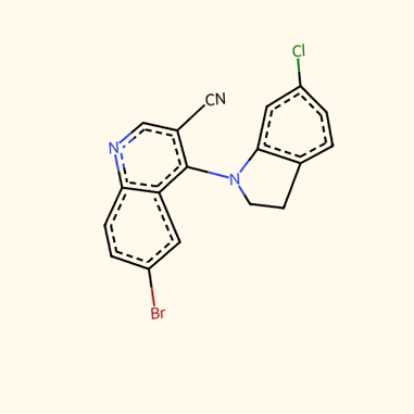 N#Cc1cnc2ccc(Br)cc2c1N1CCc2ccc(Cl)cc21